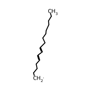 [CH2]CCCC=CC=CCCCCCCCC